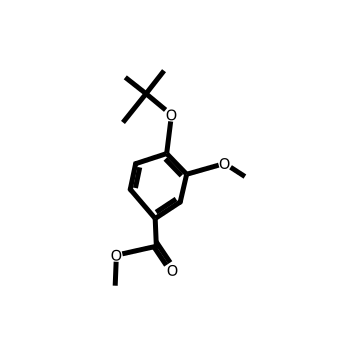 COC(=O)c1ccc(OC(C)(C)C)c(OC)c1